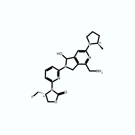 C[C@@H]1CCCN1c1cc2c(c(CN)n1)CN(c1cccc(N3C(=O)OC[C@@H]3CF)n1)C2O